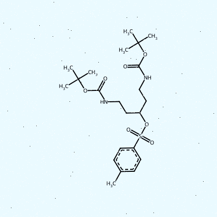 Cc1ccc(S(=O)(=O)OC(CCNC(=O)OC(C)(C)C)CCNC(=O)OC(C)(C)C)cc1